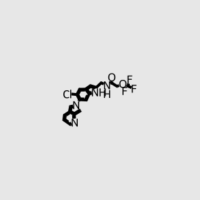 O=C(COC(F)(F)F)NCc1cc2cc(Cl)c(-n3cc4cccnc4c3)cc2[nH]1